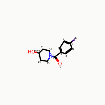 O=C(c1ccc(I)cc1)N1CCC(O)CC1